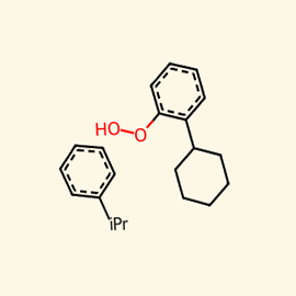 CC(C)c1ccccc1.OOc1ccccc1C1CCCCC1